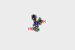 C#Cc1c(F)ccc2cc(O)cc(-c3ccc4c(N5CCCC(O)(C(F)(F)F)C5)nc(OC[C@]56CCC[C@H]5N(C)CCC6)nc4c3F)c12